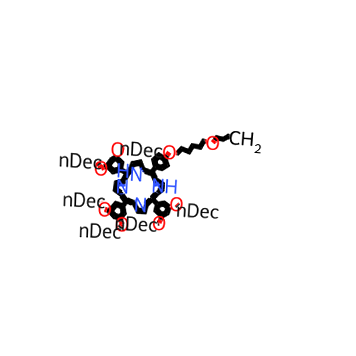 C=CCCOCCCCCCOc1ccc(-c2c3nc(c(-c4cc(OCCCCCCCCCC)cc(OCCCCCCCCCC)c4)c4ccc([nH]4)c(-c4cc(OCCCCCCCCCC)cc(OCCCCCCCCCC)c4)c4nc(c(-c5cc(OCCCCCCCCCC)cc(OCCCCCCCCCC)c5)c5ccc2[nH]5)C=C4)C=C3)cc1